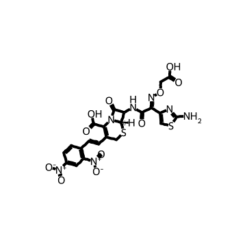 Nc1nc(C(=NOCC(=O)O)C(=O)NC2C(=O)N3C(C(=O)O)=C(C=Cc4ccc([N+](=O)[O-])cc4[N+](=O)[O-])CS[C@@H]23)cs1